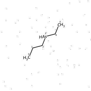 CCC[AsH]CC